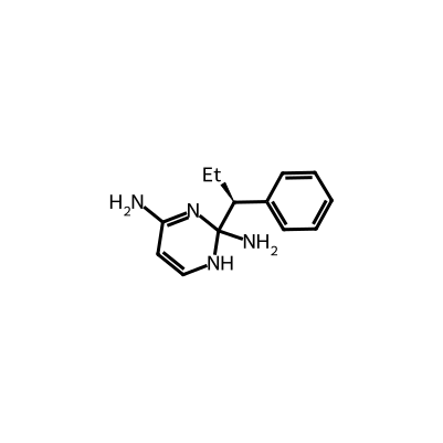 CC[C@@H](c1ccccc1)C1(N)N=C(N)C=CN1